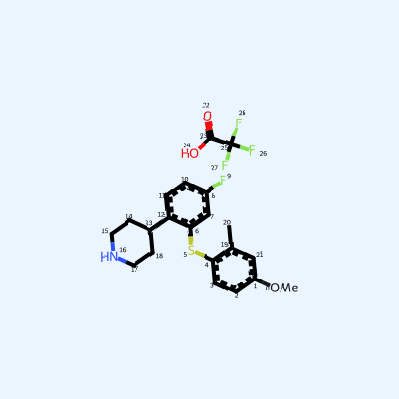 COc1ccc(Sc2cc(F)ccc2C2CCNCC2)c(C)c1.O=C(O)C(F)(F)F